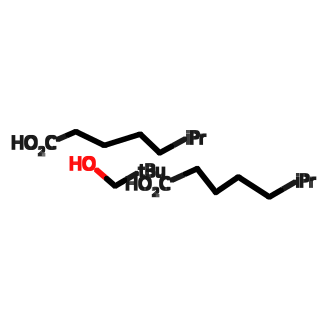 CC(C)(C)CO.CC(C)CCCCC(=O)O.CC(C)CCCCC(=O)O